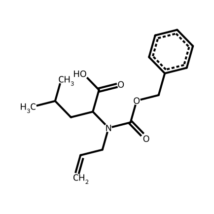 C=CCN(C(=O)OCc1ccccc1)C(CC(C)C)C(=O)O